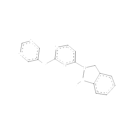 [O-][S+]1c2ccccc2CN1c1ccnc(Oc2cncnc2)n1